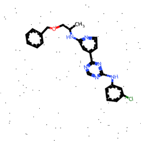 CC(COCc1ccccc1)Nc1cc(-c2ncnc(Nc3cccc(Cl)c3)n2)ccn1